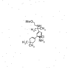 COCCNC(C)(C)c1ccc(N)c(C2=CCC(C)(C)CC2)c1.Cl